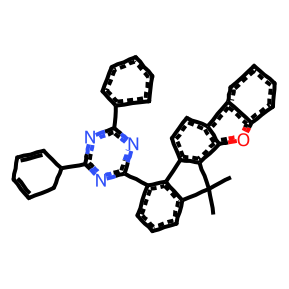 CC1(C)c2cccc(-c3nc(-c4ccccc4)nc(C4C=CC=CC4)n3)c2-c2ccc3c(oc4ccccc43)c21